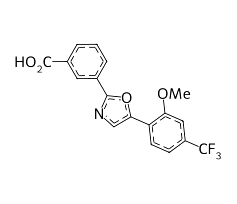 COc1cc(C(F)(F)F)ccc1-c1cnc(-c2cccc(C(=O)O)c2)o1